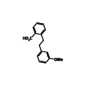 COc1cccc(CCc2ccccc2C(=O)O)c1